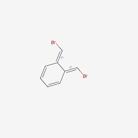 Br/C=c1\cccc\c1=C/Br